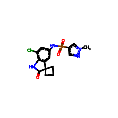 Cn1cc(S(=O)(=O)Nc2cc(Cl)c3c(c2)C2(CCC2)C(=O)N3)cn1